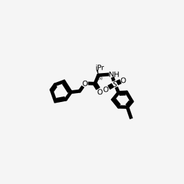 Cc1ccc(S(=O)(=O)N[C@H](C(=O)OCc2ccccc2)C(C)C)cc1